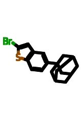 Brc1cc2cc(C34CC5CC(CC(C5)C3)C4)ccc2s1